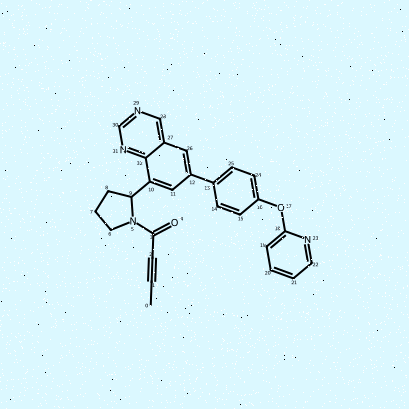 CC#CC(=O)N1CCCC1c1cc(-c2ccc(Oc3ccccn3)cc2)cc2cncnc12